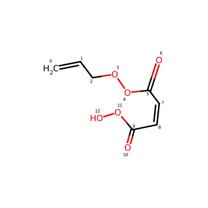 C=CCOOC(=O)/C=C\C(=O)OO